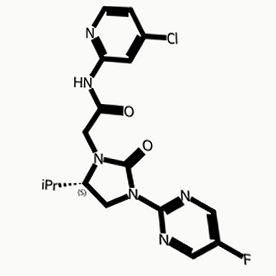 CC(C)[C@H]1CN(c2ncc(F)cn2)C(=O)N1CC(=O)Nc1cc(Cl)ccn1